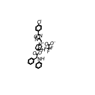 O=C(O[C@H]1C[N+]2(Cc3noc(-c4ccc(Cl)cc4)n3)CCC1CC2)[C@H](Nc1ccccc1)c1ccccc1.O=C([O-])C(F)(F)F